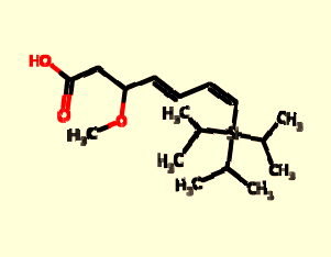 COC(/C=C/C=C\[Si](C(C)C)(C(C)C)C(C)C)CC(=O)O